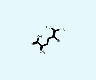 C=C(CCC(Br)=C(C)C)C(=O)O